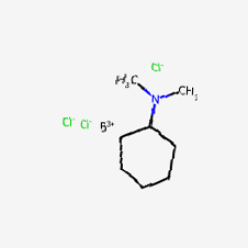 CN(C)C1CCCCC1.[B+3].[Cl-].[Cl-].[Cl-]